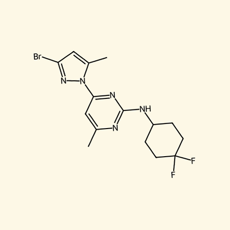 Cc1cc(-n2nc(Br)cc2C)nc(NC2CCC(F)(F)CC2)n1